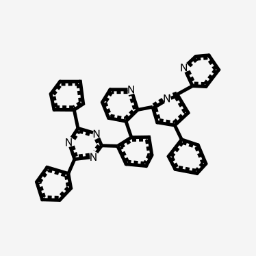 c1ccc(-c2cc(-c3ccccn3)nc(-c3ncccc3-c3ccccc3-c3nc(-c4ccccc4)nc(-c4ccccc4)n3)c2)cc1